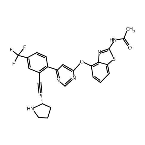 CC(=O)Nc1nc2c(Oc3cc(-c4ccc(C(F)(F)F)cc4C#C[C@@H]4CCCN4)ncn3)cccc2s1